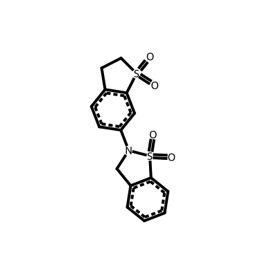 O=S1(=O)CCc2ccc(N3Cc4ccccc4S3(=O)=O)cc21